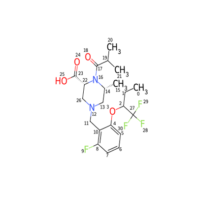 CCC(Oc1cccc(F)c1CN1C[C@@H](C)N(C(=O)C(C)C)[C@@H](C(=O)O)C1)C(F)(F)F